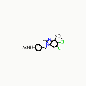 CC(=O)Nc1ccc(Cn2c(C)nc3c([N+](=O)[O-])c(Cl)c(Cl)cc32)cc1